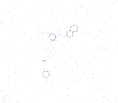 Nc1nc(NCc2ccc3ccccc3c2)nc(N2CCC3(CC2)CC(C(=O)O)N(C(=O)OCc2ccccc2)C3)n1